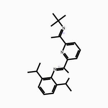 C/C(=N\c1c(C(C)C)cccc1C(C)C)c1cccc(/C(C)=N/C(C)(C)C)n1